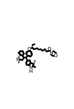 CC[C@@H](CCCCC/C=C/C(=O)N1CCOCC1)OC1=C=CC=C(/C(=C(/CC(F)(F)F)c2ccccc2)c2ccc3[nH]c(C)c(F)c3c2)C=C1